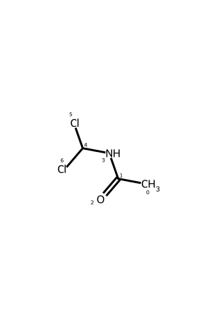 CC(=O)NC(Cl)Cl